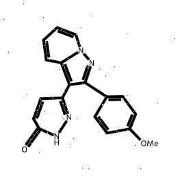 COc1ccc(-c2nn3ccccc3c2-c2ccc(=O)[nH]n2)cc1